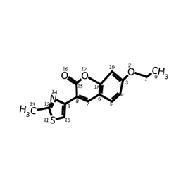 CCOc1ccc2cc(-c3csc(C)n3)c(=O)oc2c1